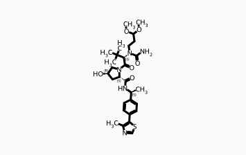 COC(CCN(C(N)=O)[C@H](C(=O)N1C[C@H](O)C[C@H]1C(=O)N[C@@H](C)c1ccc(-c2scnc2C)cc1)C(C)(C)C)OC